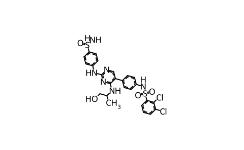 CC(CO)Nc1nc(Nc2ccc([SH](=N)=O)cc2)ncc1-c1ccc(NS(=O)(=O)c2cccc(Cl)c2Cl)cc1